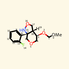 COCO[C@H]1COC[C@]2(c3ccccc3F)NOC[C@H]12